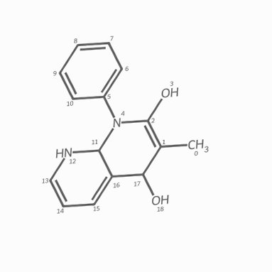 CC1=C(O)N(c2ccccc2)C2NC=CC=C2C1O